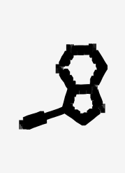 N#Cc1cnn2cnnnc12